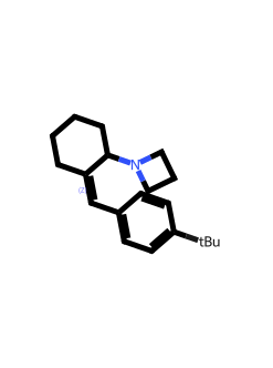 CC(C)(C)c1ccc(/C=C2/CCCCC2N2CCC2)cc1